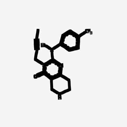 CC#CCn1c(N(CC)c2ccc(C(F)(F)F)cc2)nc2c(c1=O)CNCC2